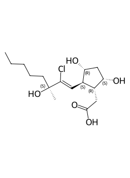 CCCCC[C@](C)(O)C(Cl)=C[C@@H]1[C@@H](CC(=O)O)[C@@H](O)C[C@H]1O